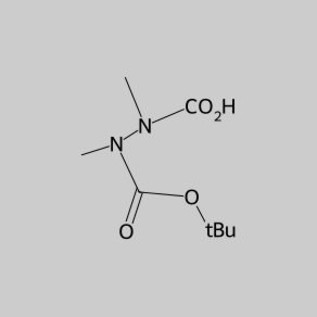 CN(C(=O)O)N(C)C(=O)OC(C)(C)C